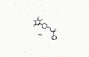 Cl.Cn1c(N2CCN(CCC(=O)c3ccccc3)CC2)cc(=O)n(C)c1=O